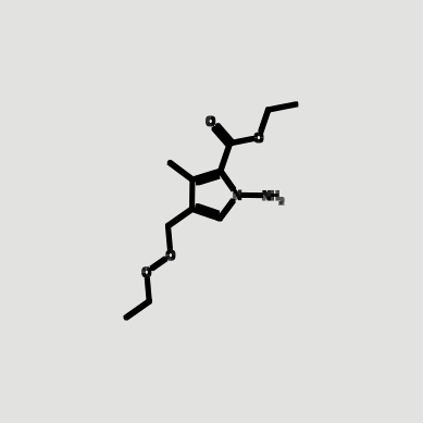 CCOOCc1cn(N)c(C(=O)OCC)c1C